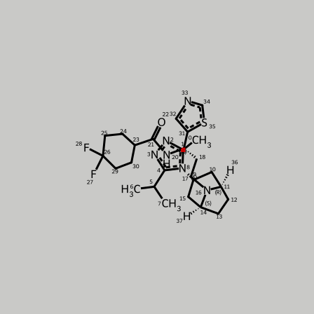 Cc1nnc(C(C)C)n1[C@@H]1C[C@H]2CC[C@@H](C1)N2CC[C@H](NC(=O)C1CCC(F)(F)CC1)c1cncs1